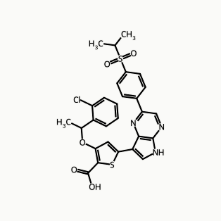 CC(Oc1cc(-c2c[nH]c3ncc(-c4ccc(S(=O)(=O)C(C)C)cc4)nc23)sc1C(=O)O)c1ccccc1Cl